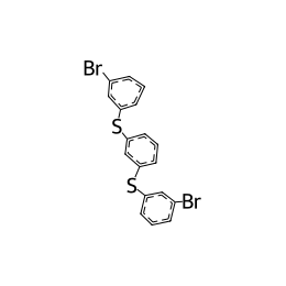 Brc1cccc(Sc2cccc(Sc3cccc(Br)c3)c2)c1